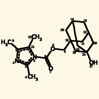 Cc1nc(C)n(C(=O)OCC23CC4CC(CC(O)(C4)C2)C3)c1C